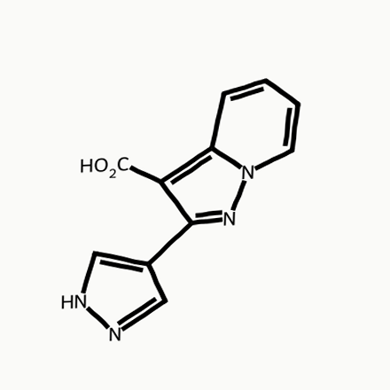 O=C(O)c1c(-c2cn[nH]c2)nn2ccccc12